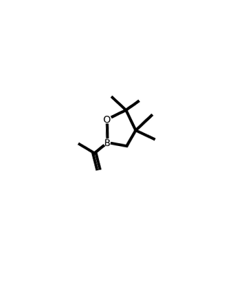 C=C(C)B1CC(C)(C)C(C)(C)O1